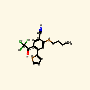 CCCCSc1cc(-c2cccs2)c(C(=O)C(F)(F)F)cc1C#N